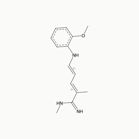 CNC(=N)/C(C)=C/C=C/Nc1ccccc1OC